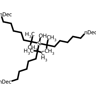 CCCCCCCCCCCCCCCC(C)(C)[Si](O)(C(C)(C)CCCCCCCCCCCCCCC)C(C)(C)CCCCCCCCCCCCCCC